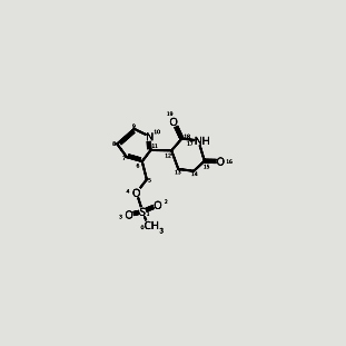 CS(=O)(=O)OCc1cccnc1C1CCC(=O)NC1=O